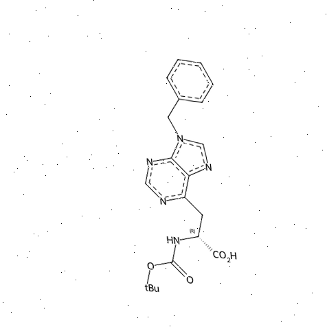 CC(C)(C)OC(=O)N[C@H](Cc1ncnc2c1ncn2Cc1ccccc1)C(=O)O